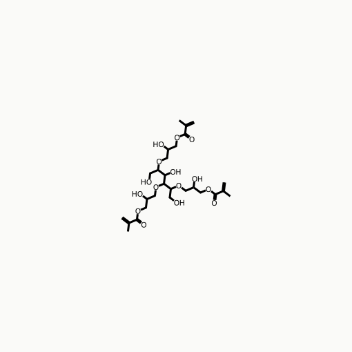 C=C(C)C(=O)OCC(O)COC(CO)C(O)C(OCC(O)COC(=O)C(=C)C)C(CO)OCC(O)COC(=O)C(=C)C